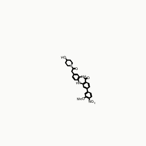 COc1cc(-c2ccc3c(c2)Nc2ccc(CC(=O)N4CCC(O)CC4)cc2NC3=O)ccc1[N+](=O)[O-]